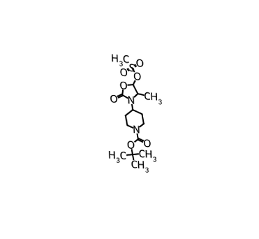 CC1C(OS(C)(=O)=O)OC(=O)N1C1CCN(C(=O)OC(C)(C)C)CC1